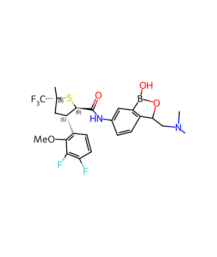 COc1c([C@@H]2C[C@](C)(C(F)(F)F)S[C@H]2C(=O)Nc2ccc3c(c2)B(O)OC3CN(C)C)ccc(F)c1F